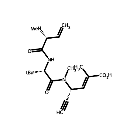 C#C[C@@H](/C=C(\C)C(=O)O)N(C)C(=O)[C@@H](NC(=O)[C@@H](C=C)NC)C(C)(C)C